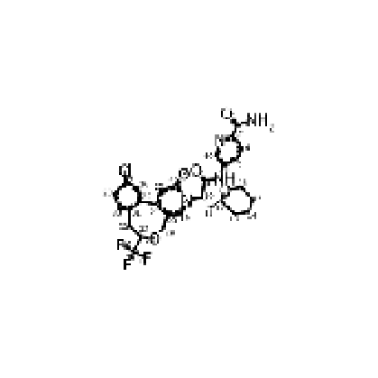 NC(=O)c1ccc(NC(=O)[C@H](C[C@@H]2CCCCO2)n2cc3c(cc2=O)-c2cc(Cl)ccc2CC(C(F)(F)F)OC3)cn1